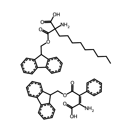 CCCCCCCCCC(N)(C(=O)O)C(=O)OCC1c2ccccc2-c2ccccc21.NC(C(=O)O)=C(C(=O)OCC1c2ccccc2-c2ccccc21)c1ccccc1